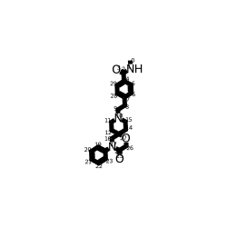 CNC(=O)c1ccc(CCN2CCC3(CC2)CN(c2ccccc2)C(=O)CO3)cc1